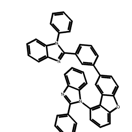 c1ccc(-c2nc3ccccc3n2-c2cccc3oc4ccc(-c5cccc(-c6nc7ccccc7n6-c6ccccc6)c5)cc4c23)cc1